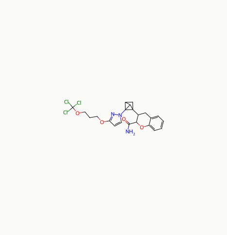 NC(=O)C1Oc2ccccc2CC1C12CC(C1)C2n1ccc(OCCCOC(Cl)(Cl)Cl)n1